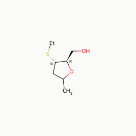 CCS[C@H]1CC(C)O[C@@H]1CO